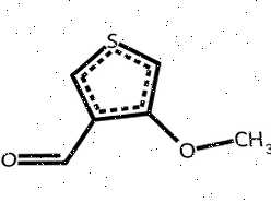 COc1cscc1C=O